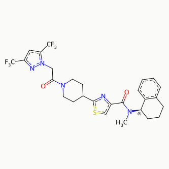 CN(C(=O)c1csc(C2CCN(C(=O)Cn3nc(C(F)(F)F)cc3C(F)(F)F)CC2)n1)[C@@H]1CCCc2ccccc21